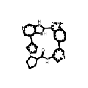 O=C(Nc1cncc(-c2ccc3[nH]nc(C4Nc5cncc(-c6ccsc6)c5N4)c3c2)c1)C1CCCC1